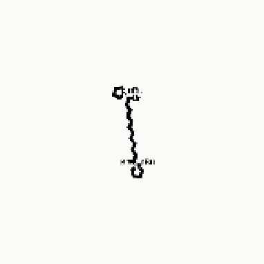 CCCC[N+]1(C(Br)CCCCCCCCCCC(Br)[N+]2(CCCC)CCCC2)CCCC1